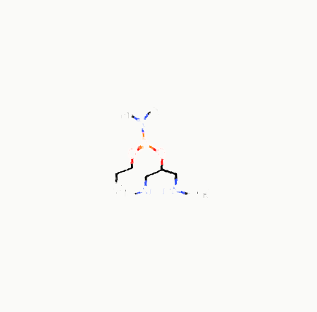 CC(C)N(C(C)C)P(OCCC#N)OC(CNC=O)CNC=O